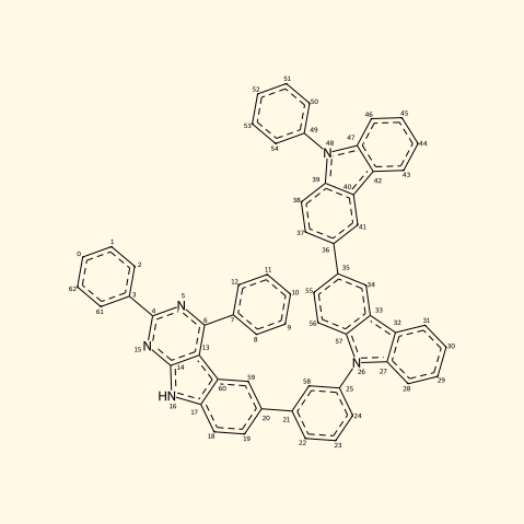 c1ccc(-c2nc(-c3ccccc3)c3c(n2)[nH]c2ccc(-c4cccc(-n5c6ccccc6c6cc(-c7ccc8c(c7)c7ccccc7n8-c7ccccc7)ccc65)c4)cc23)cc1